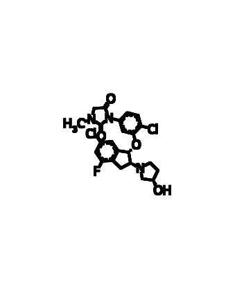 CN1CC(=O)N(c2ccc(Cl)c(O[C@H]3c4cc(Cl)cc(F)c4C[C@@H]3N3CC[C@@H](O)C3)c2)C1=O